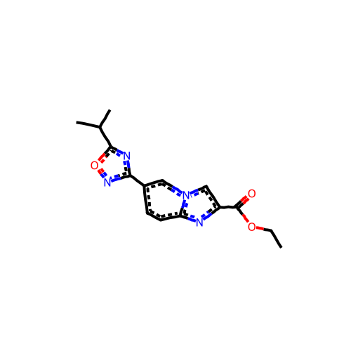 CCOC(=O)c1cn2cc(-c3noc(C(C)C)n3)ccc2n1